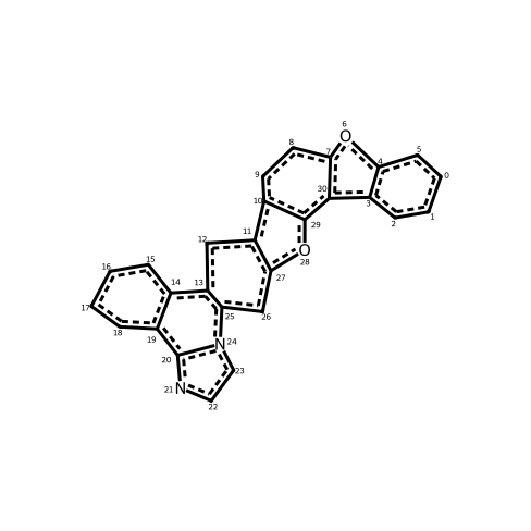 c1ccc2c(c1)oc1ccc3c4cc5c6ccccc6c6nccn6c5cc4oc3c12